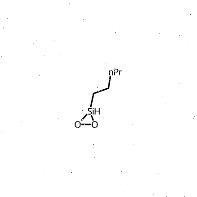 CCCCC[SiH]1OO1